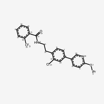 CC(C)Oc1ccc(-c2ccc(CCNC(=O)c3ccccc3C(F)(F)F)c(Cl)c2)cn1